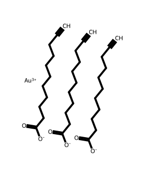 C#CCCCCCCCCC(=O)[O-].C#CCCCCCCCCC(=O)[O-].C#CCCCCCCCCC(=O)[O-].[Au+3]